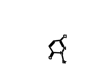 O=c1ccc(Cl)nn1Br